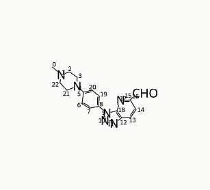 CN1CCN(c2ccc(-n3nnc4ccc(C=O)nc43)cc2)CC1